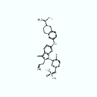 C=CCn1c(=O)c2cnc(Nc3ccc4c(c3)CCC(N(C)C)C4)nc2n1-c1nc(N=S(C)(C)=O)ccc1F